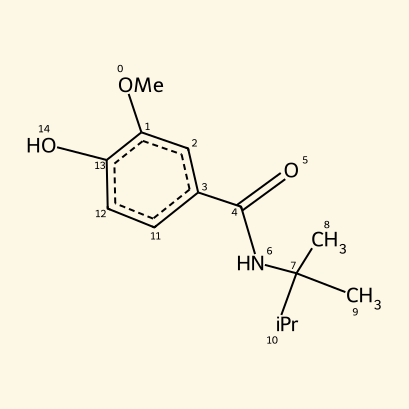 COc1cc(C(=O)NC(C)(C)C(C)C)ccc1O